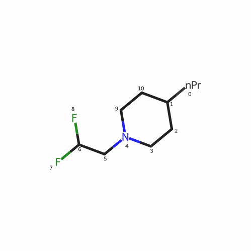 CCCC1CCN(CC(F)F)CC1